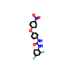 O=C(Nc1ccc(Oc2ccc([N+](=O)[O-])cc2)cc1)Nc1ccc(F)cc1F